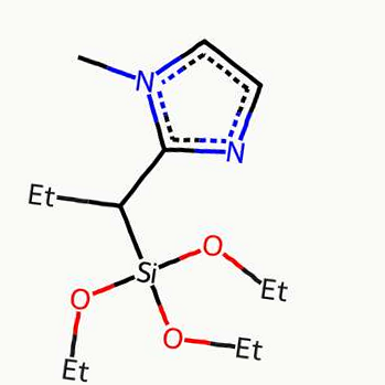 CCO[Si](OCC)(OCC)C(CC)c1nccn1C